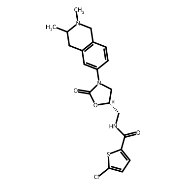 CC1Cc2cc(N3C[C@H](CNC(=O)c4ccc(Cl)s4)OC3=O)ccc2CN1C